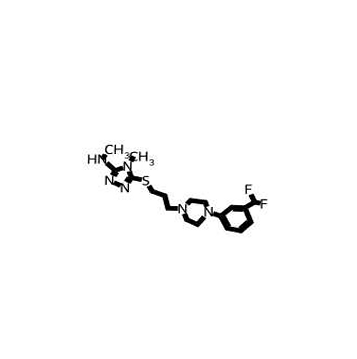 CNc1nnc(SCCCN2CCN(c3cccc(C(F)F)c3)CC2)n1C